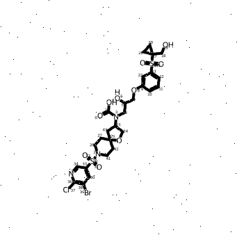 O=C(O)N(CC(O)COc1cccc(S(=O)(=O)C2(CO)CC2)c1)C1COC2(CCN(S(=O)(=O)c3cnc(Cl)c(Br)c3)CC2)C1